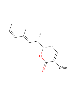 C/C=C\C(C)=C\[C@H](C)[C@@H]1CC=C(OC)C(=O)O1